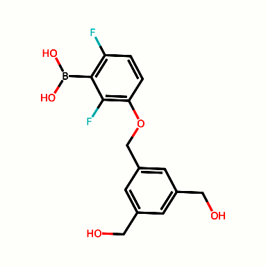 OCc1cc(CO)cc(COc2ccc(F)c(B(O)O)c2F)c1